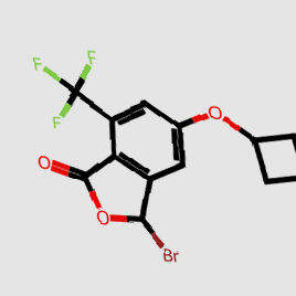 O=C1OC(Br)c2cc(OC3CCC3)cc(C(F)(F)F)c21